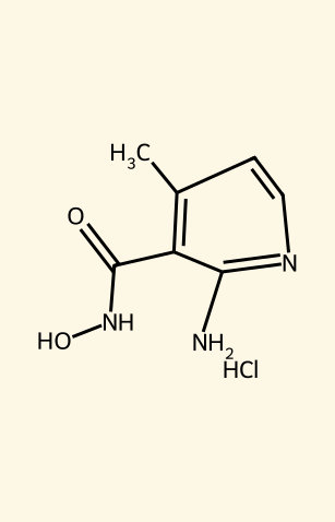 Cc1ccnc(N)c1C(=O)NO.Cl